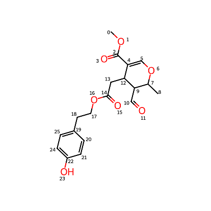 COC(=O)C1=COC(C)C(C=O)C1CC(=O)OCCc1ccc(O)cc1